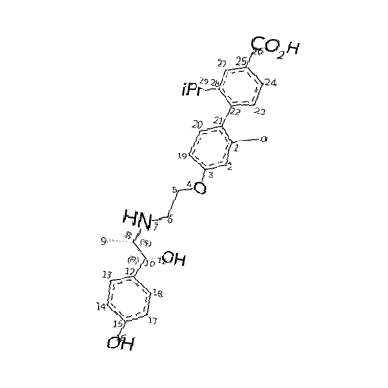 Cc1cc(OCCN[C@@H](C)[C@H](O)c2ccc(O)cc2)ccc1-c1ccc(C(=O)O)cc1C(C)C